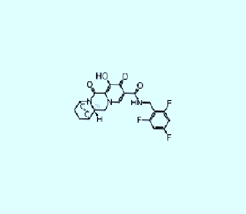 O=C(NCc1c(F)cc(F)cc1F)c1cn2c(c(O)c1=O)C(=O)N1C3CCC(CC3)[C@H]1C2